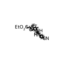 CCOC(=O)CCC(=O)N(c1cc(C)c(NC(=O)CNc2ccc(C#N)cc2)cc1C)C(C)C